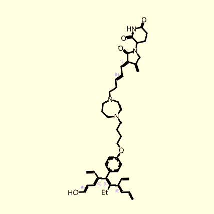 C=C/C=C(C=C)/C(CC)=C(/C(C=C)=C/C=C/O)c1ccc(OCCCCN2CCCN(CC/C=C/C=C3\C(=C)CN(C4CCC(=O)NC4=O)C3=O)CC2)cc1